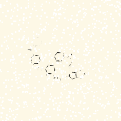 Cc1cc2c(n1CCN(C=O)c1nccc(-c3cc(Nc4ccc(C(=O)N5CCOCC5)cn4)c(=O)n(C)c3)c1C=O)CC(C)(C)C2